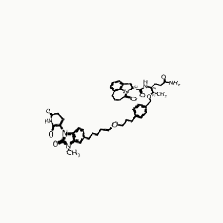 C[C@@H](OCc1ccc(CCCOCCCCCc2ccc3c(c2)n(C)c(=O)n3C2CCC(=O)NC2=O)cc1)[C@H](CCC(N)=O)NC(=O)[C@@H]1Cc2cccc3c2N1C(=O)CCC3